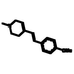 COc1ccc(/C=C/C2=CCN(C)CC2)cc1